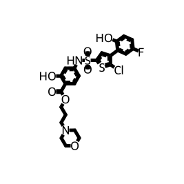 O=C(OCCCN1CCOCC1)c1ccc(NS(=O)(=O)c2cc(-c3cc(F)ccc3O)c(Cl)s2)cc1O